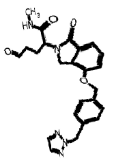 CNC(=O)C(CCC=O)N1Cc2c(OCc3ccc(Cn4nccn4)cc3)cccc2C1=O